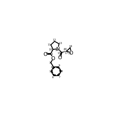 O=C(OCc1ccccc1)C1CCCN1C(=O)[C@H]1CO1